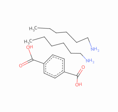 CCCCCCN.CCCCCCN.O=C(O)c1ccc(C(=O)O)cc1